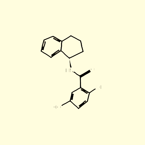 O=C(N[C@@H]1CCCc2ccccc21)c1cc(O)ccc1O